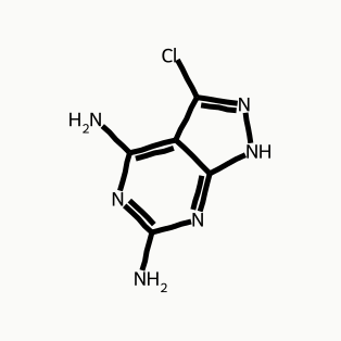 Nc1nc(N)c2c(Cl)n[nH]c2n1